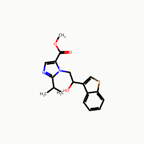 COC(=O)c1cnc(C(C)C)n1CC(O)c1csc2ccccc12